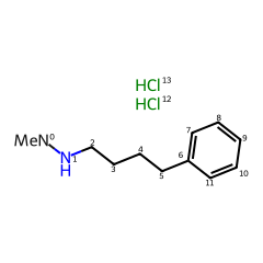 CNNCCCCc1ccccc1.Cl.Cl